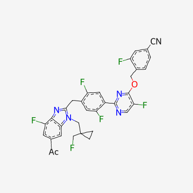 CC(=O)c1cc(F)c2nc(Cc3cc(F)c(-c4ncc(F)c(OCc5ccc(C#N)cc5F)n4)cc3F)n(CC3(CF)CC3)c2c1